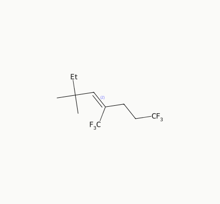 CCC(C)(C)/C=C(/CCC(F)(F)F)C(F)(F)F